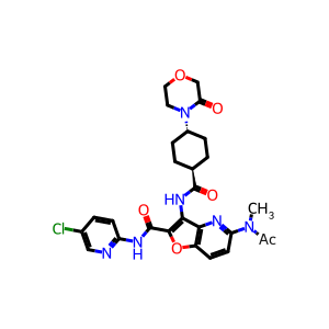 CC(=O)N(C)c1ccc2oc(C(=O)Nc3ccc(Cl)cn3)c(NC(=O)[C@H]3CC[C@H](N4CCOCC4=O)CC3)c2n1